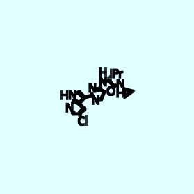 CC(C)[C@@H](NC1=NC(c2c[nH]c3ncc(Cl)cc23)=NCC1)C(=O)NC1CC1